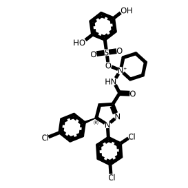 O=C(N[N+]1(OS(=O)(=O)c2cc(O)ccc2O)CCCCC1)C1=NN(c2ccc(Cl)cc2Cl)[C@@H](c2ccc(Cl)cc2)C1